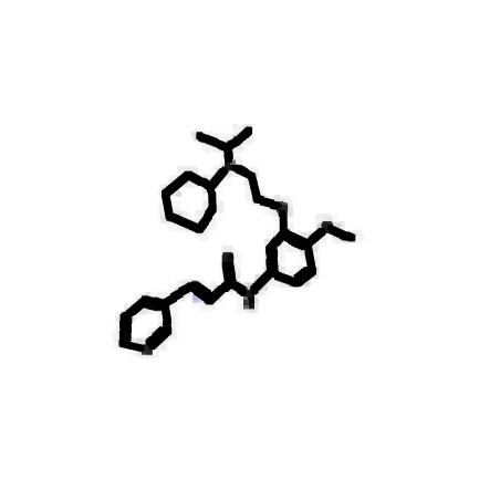 COc1ccc(NC(=O)/C=C/c2cccnc2)cc1OCCN(C(C)C)C1CCCCC1